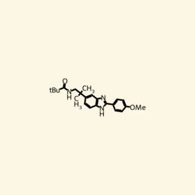 COc1ccc(-c2nc3cc(C(C)(C)CNC(=O)C(C)(C)C)ccc3[nH]2)cc1